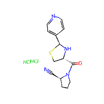 Cl.Cl.N#C[C@@H]1CCCN1C(=O)[C@@H]1CSC(c2ccncc2)N1